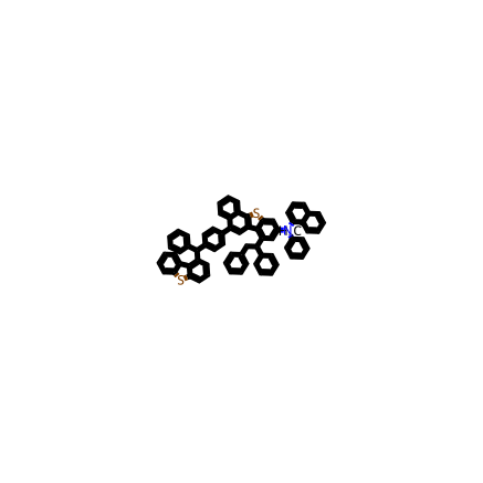 CC12C=CC=CC1C=CC=C2N(c1ccccc1)c1cc(C(Cc2ccccc2)C2C=CC=CC2)c2c(c1)sc1c3ccccc3c(-c3ccc(C(c4ccccc4)c4cccc5sc6ccccc6c45)cc3)cc12